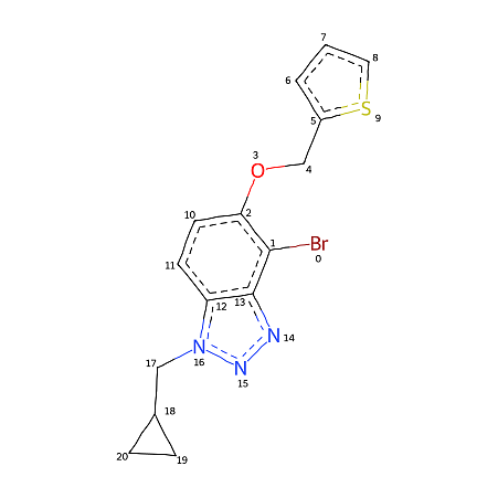 Brc1c(OCc2cccs2)ccc2c1nnn2CC1CC1